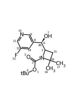 CC(C)(C)OC(=O)N1C([C@H](O)c2cncc(F)c2)CC1(C)C